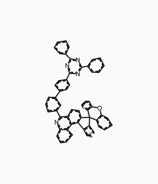 c1ccc(-c2nc(-c3ccccc3)nc(-c3ccc(-c4cccc(-c5nc6ccccc6c6c7c(ccc56)C5(c6ccccc6Oc6ccccc65)c5ccccc5-7)c4)cc3)n2)cc1